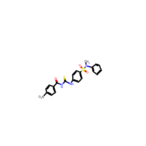 CN(c1ccccc1)S(=O)(=O)c1ccc(NC(=S)NC(=O)c2ccc([N+](=O)[O-])cc2)cc1